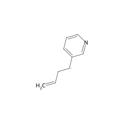 C=CC[CH]c1cccnc1